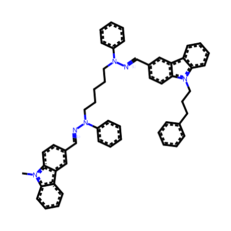 Cn1c2ccccc2c2cc(/C=N/N(CCCCCN(/N=C/c3ccc4c(c3)c3ccccc3n4CCCc3ccccc3)c3ccccc3)c3ccccc3)ccc21